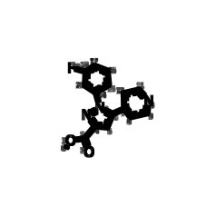 COC(=O)c1cc(-c2ccncc2)n(-c2cccc(F)c2)n1